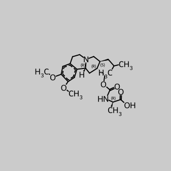 COc1cc2c(cc1OC)[C@H]1C[C@@H](COC(=O)N[C@H](C)C(=O)O)[C@H](CC(C)C)CN1CC2